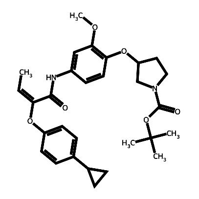 CC=C(Oc1ccc(C2CC2)cc1)C(=O)Nc1ccc(OC2CCN(C(=O)OC(C)(C)C)C2)c(OC)c1